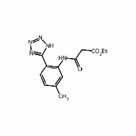 CCOC(=O)CC(=O)Nc1cc(C)ccc1-c1nnn[nH]1